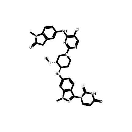 CO[C@@H]1CN(c2ncc(Cl)c(Nc3ccc4c(c3)CC(=O)N4C)n2)CC[C@H]1Nc1ccc2c(-n3ccc(=O)[nH]c3=O)nn(C)c2c1